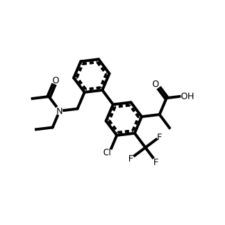 CCN(Cc1ccccc1-c1cc(Cl)c(C(F)(F)F)c(C(C)C(=O)O)c1)C(C)=O